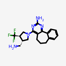 NC[C@H]1CN(c2nc(N)nc3c2CCCc2ccccc2-3)C[C@@H]1C(F)(F)F